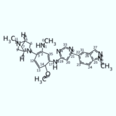 CNC1=C(N2C[C@@H]3C[C@H]2CN3C)C=CC(OC)C(Nc2cc(-c3ccc4c(cnn4C)c3)ncn2)=C1